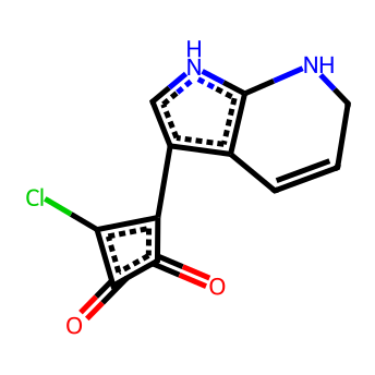 O=c1c(Cl)c(-c2c[nH]c3c2C=CCN3)c1=O